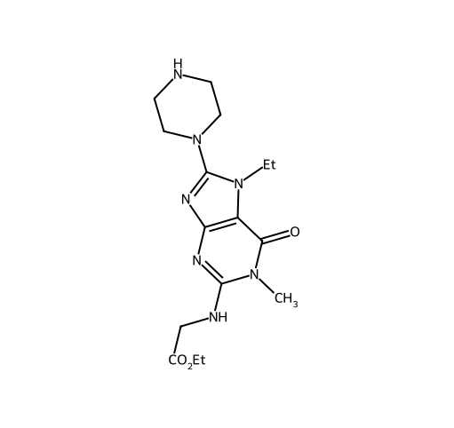 CCOC(=O)CNc1nc2nc(N3CCNCC3)n(CC)c2c(=O)n1C